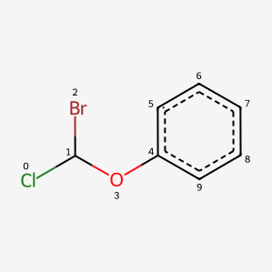 ClC(Br)Oc1[c]cccc1